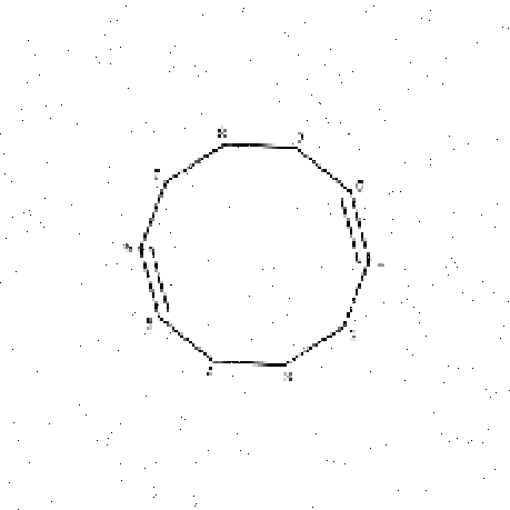 C1=CCCCC=CCCC1